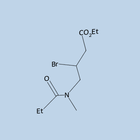 CCOC(=O)CC(Br)CN(C)C(=O)CC